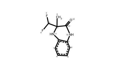 CC1(C(F)F)Nc2ccccc2NC1=O